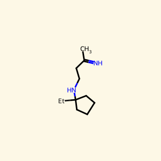 CCC1(NCCC(C)=N)CCCC1